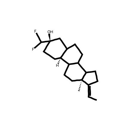 CC=C1CCC2C3CCC4C[C@@](O)(C(F)F)CC[C@@H]4C3CC[C@]12C